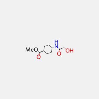 COC(=O)[C@H]1CC[C@H](NC(=O)CO)CC1